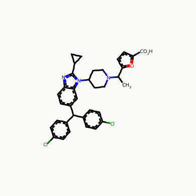 CC(c1ccc(C(=O)O)o1)N1CCC(n2c(C3CC3)nc3ccc(C(c4ccc(Cl)cc4)c4ccc(Cl)cc4)cc32)CC1